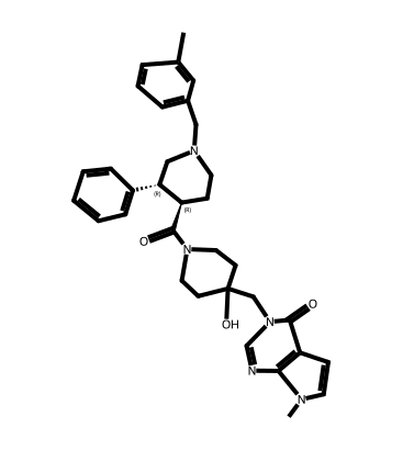 Cc1cccc(CN2CC[C@@H](C(=O)N3CCC(O)(Cn4cnc5c(ccn5C)c4=O)CC3)[C@H](c3ccccc3)C2)c1